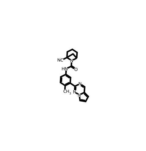 Cc1ccc(NC(=O)N2C3CCCC2(C#N)C3)cc1-c1ncc2cccn2n1